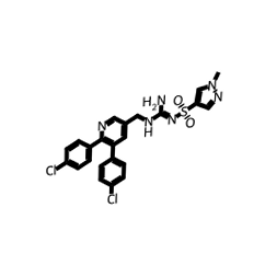 Cn1cc(S(=O)(=O)/N=C(\N)NCc2cnc(-c3ccc(Cl)cc3)c(-c3ccc(Cl)cc3)c2)cn1